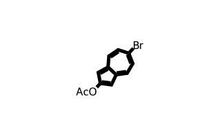 CC(=O)Oc1cc2ccc(Br)ccc-2c1